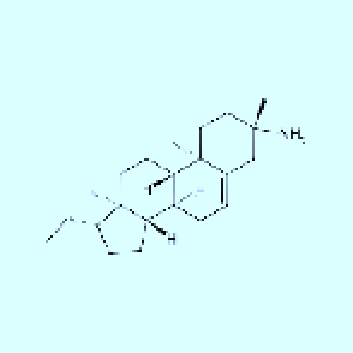 CC[C@H]1CC[C@H]2[C@@H]3CC=C4C[C@@](C)(N)CC[C@]4(C)[C@H]3CC[C@]12C